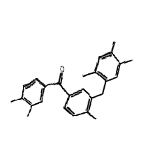 Cc1ccc(C(=O)c2ccc(C)c(Cc3cc(C)c(C)cc3C)c2)cc1C